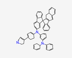 C1=CCC(N(c2ccccc2)c2cccc(N(C3=CC=C(C4=CC=NCC4)CC3)c3ccc4c(c3)C3(C5=C(C=C6C=CC=CC6C5)c5ccccc53)c3ccccc3-4)c2)C=C1